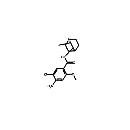 COc1cc(N)c(Cl)cc1C(=O)NC1C2CCN(CC2)C1C